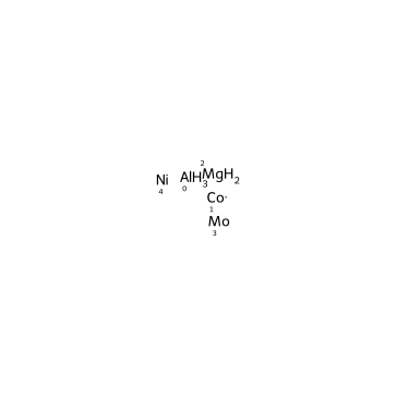 [AlH3].[Co].[MgH2].[Mo].[Ni]